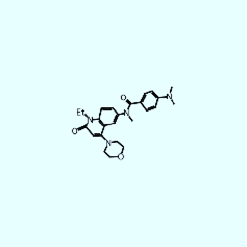 CCn1c(=O)cc(N2CCOCC2)c2cc(N(C)C(=O)c3ccc(N(C)C)cc3)ccc21